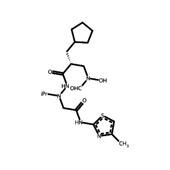 Cc1csc(NC(=O)CN(NC(=O)[C@H](CC2CCCC2)CN(O)C=O)C(C)C)n1